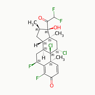 C[C@@H]1C[C@H]2[C@@H]3C[C@H](F)C4=C(F)C(=O)C=C[C@]4(C)[C@@]3(Cl)[C@@H](Cl)C[C@]2(C)[C@@]1(O)C(=O)C(F)F